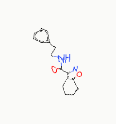 O=C(NCCc1ccccc1)c1noc2c1CCCC2